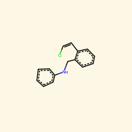 Cl/C=C\c1ccccc1CNc1ccccc1